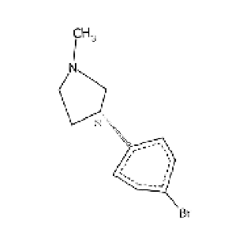 CN1CC[C@@H](c2ccc(Br)cc2)C1